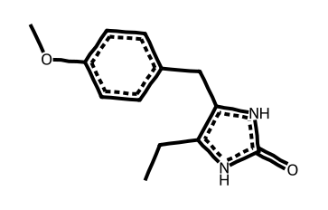 CCc1[nH]c(=O)[nH]c1Cc1ccc(OC)cc1